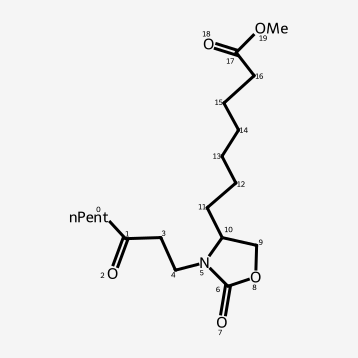 CCCCCC(=O)CCN1C(=O)OCC1CCCCCCC(=O)OC